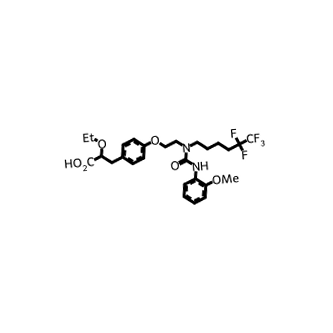 CCOC(Cc1ccc(OCCN(CCCCC(F)(F)C(F)(F)F)C(=O)Nc2ccccc2OC)cc1)C(=O)O